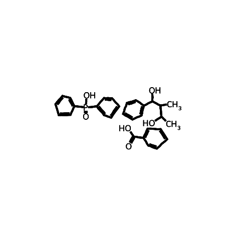 CC(O)C(C)C(O)c1ccccc1.O=C(O)c1ccccc1.O=P(O)(c1ccccc1)c1ccccc1